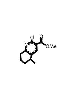 COC(=O)c1cc2c(nc1Cl)CCCC2C